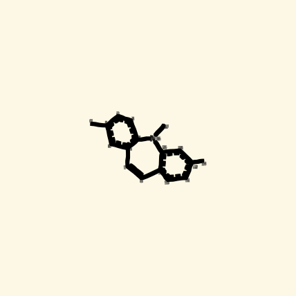 Cc1ccc2c(c1)C=Cc1ccc(C)cc1N2C